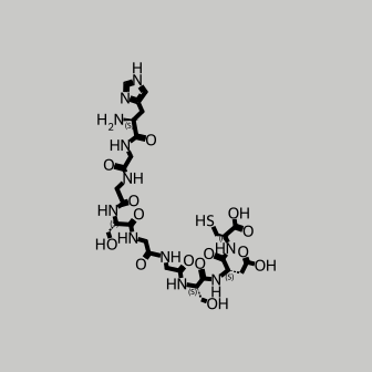 N[C@@H](Cc1c[nH]cn1)C(=O)NCC(=O)NCC(=O)N[C@@H](CO)C(=O)NCC(=O)NCC(=O)N[C@@H](CO)C(=O)N[C@@H](CC(=O)O)C(=O)N[C@@H](CS)C(=O)O